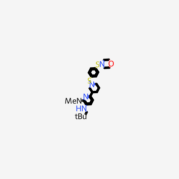 CNc1nc(C2CCCN(Sc3ccc(SN4CCOCC4)cc3)C2)ccc1NCC(C)(C)C